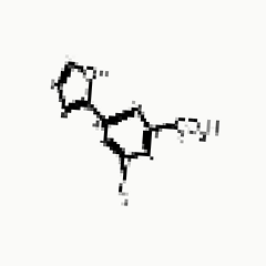 O=C(O)c1cc(Cl)cc(-c2ccco2)c1